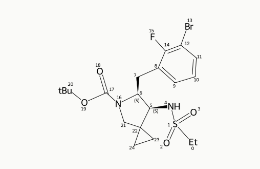 CCS(=O)(=O)N[C@@H]1[C@H](Cc2cccc(Br)c2F)N(C(=O)OC(C)(C)C)CC12CC2